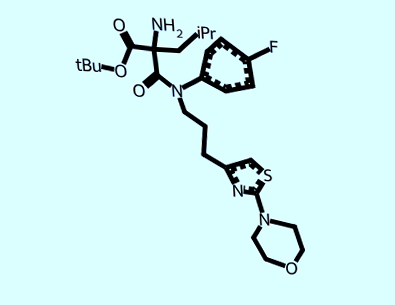 CC(C)CC(N)(C(=O)OC(C)(C)C)C(=O)N(CCCc1csc(N2CCOCC2)n1)c1ccc(F)cc1